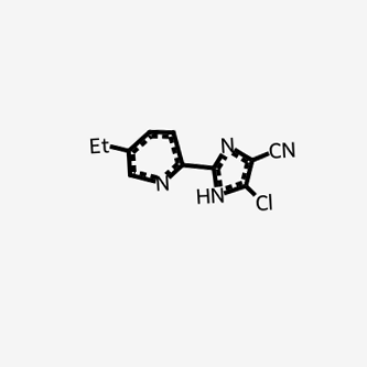 CCc1ccc(-c2nc(C#N)c(Cl)[nH]2)nc1